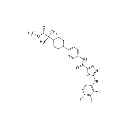 COC(=O)C(C)(C)C1CCC(c2ccc(NC(=O)c3nnc(Nc4ccc(F)c(F)c4F)o3)cc2)CC1